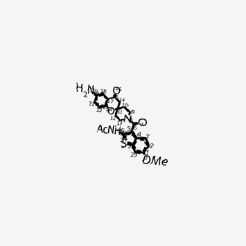 COc1ccc2c(C(=O)N3CCC4(CC3)CC(=O)c3cc(N)ccc3O4)c(NC(C)=O)sc2c1